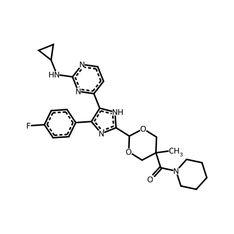 CC1(C(=O)N2CCCCC2)COC(c2nc(-c3ccc(F)cc3)c(-c3ccnc(NC4CC4)n3)[nH]2)OC1